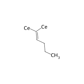 CCCC=[C]([Ce])[Ce]